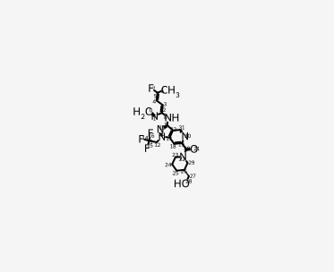 C=N/C(=C\C=C(/C)F)Nc1nn(CC(F)(F)F)c2cc(C(=O)N3CCC[C@H](CO)C3)ncc12